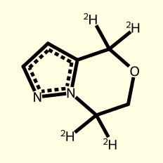 [2H]C1([2H])OCC([2H])([2H])n2nccc21